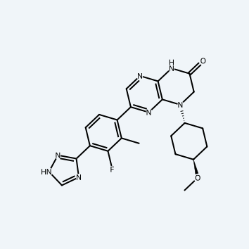 CO[C@H]1CC[C@H](N2CC(=O)Nc3ncc(-c4ccc(-c5nc[nH]n5)c(F)c4C)nc32)CC1